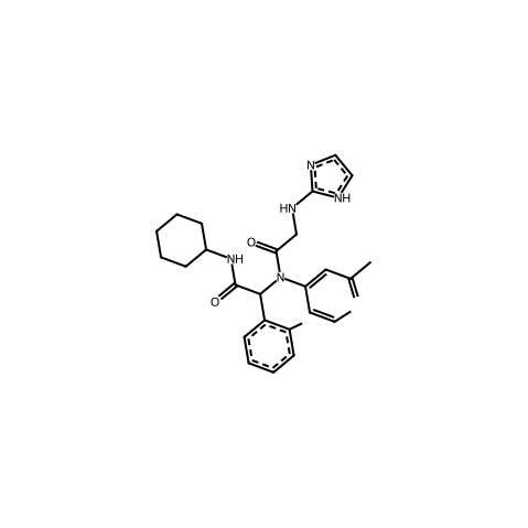 C=C(C)/C=C(\C=C/C)N(C(=O)CNc1ncc[nH]1)C(C(=O)NC1CCCCC1)c1ccccc1C